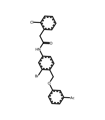 CC(=O)c1cccc(OCc2ccc(NC(=O)Cc3ccccc3Cl)cc2Br)c1